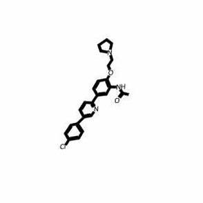 CC(=O)Nc1cc(-c2ccc(-c3ccc(Cl)cc3)cn2)ccc1OCCN1CCCC1